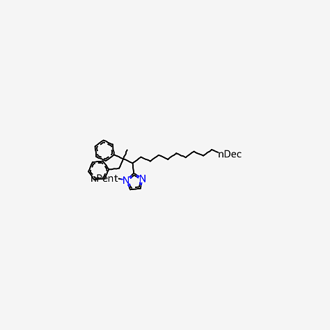 CCCCCCCCCCCCCCCCCCCC(c1nccn1CCCCC)C(C)(Cc1ccccc1)c1ccccc1